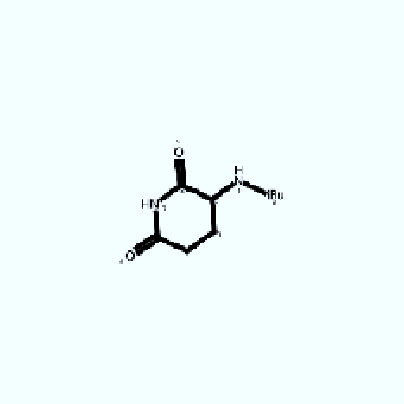 CCC(C)NC1CCC(=O)NC1=O